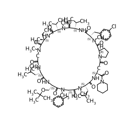 CC[C@]1(C)NC(=O)[C@H](C(C)C)N(C)C(=O)[C@H](C(C)C)NC(=O)[C@H](Cc2cccc(Cl)c2)N(C)C(=O)[C@H]2CCCN2C(=O)C[C@@H](C(=O)N2CCCCC2)NC(=O)[C@H](CC(C)C)N(C)C(=O)[C@H](Cc2ccccc2)N(C)C(=O)[C@H](COC(C)(C)C)NC(=O)[C@H](CC(C)C)N(C)C(=O)CN(C)C1=O